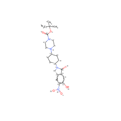 CC(C)(C)OC(=O)N1CCN(C2CCC(N3Cc4cc([N+](=O)[O-])c(O)cc4C3=O)CC2)CC1